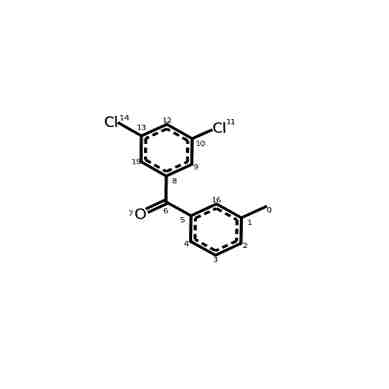 Cc1cccc(C(=O)c2cc(Cl)cc(Cl)c2)c1